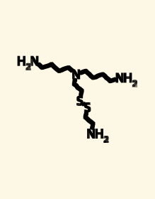 NCCCCN(CCCCN)CCSSCCN